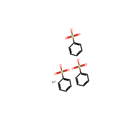 O=S(=O)([O-])c1ccccc1.O=S(=O)([O-])c1ccccc1.O=S(=O)([O-])c1ccccc1.[Ir+3]